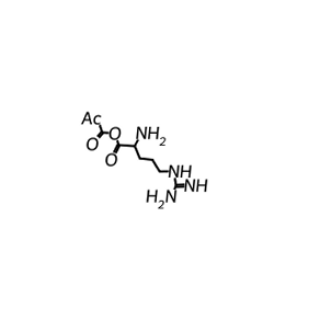 CC(=O)C(=O)OC(=O)C(N)CCCNC(=N)N